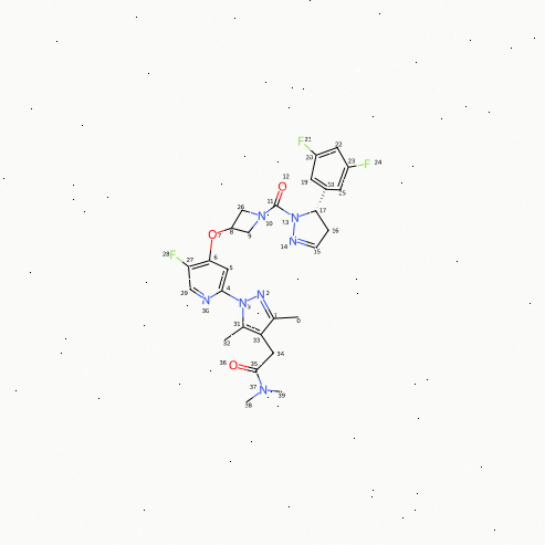 Cc1nn(-c2cc(OC3CN(C(=O)N4N=CC[C@H]4c4cc(F)cc(F)c4)C3)c(F)cn2)c(C)c1CC(=O)N(C)C